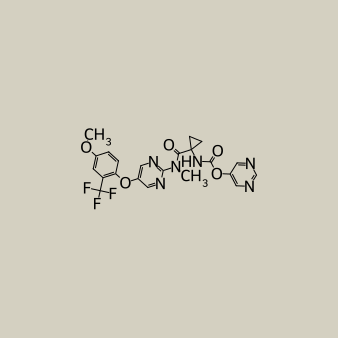 COc1ccc(Oc2cnc(N(C)C(=O)C3(NC(=O)Oc4cncnc4)CC3)nc2)c(C(F)(F)F)c1